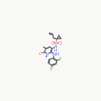 C=CCC1(S(=O)(=O)Nc2cc(C)c(=O)n(C)c2Nc2ccc(F)cc2F)CC1